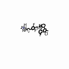 C/N=C(\N)NCCCc1cc(F)c(CSc2nc3c(n2-c2ccc(F)cc2)C(c2ccc(Cl)c(C)c2)CCC3)c(F)c1